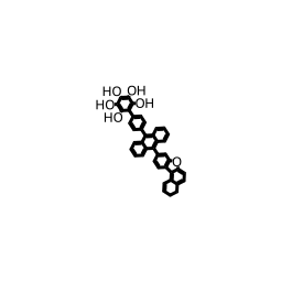 Oc1c(O)c(O)c(-c2ccc(-c3c4ccccc4c(-c4ccc5c(c4)oc4ccc6c(c45)C=CCC6)c4ccccc34)cc2)c(O)c1O